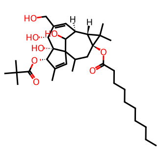 CCCCCCCCCC(=O)O[C@@]12CC(C)C34C=C(C)[C@H](OC(=O)C(C)(C)C)[C@@]3(O)[C@H](O)C(CO)=C[C@H](C4O)[C@@H]1C2(C)C